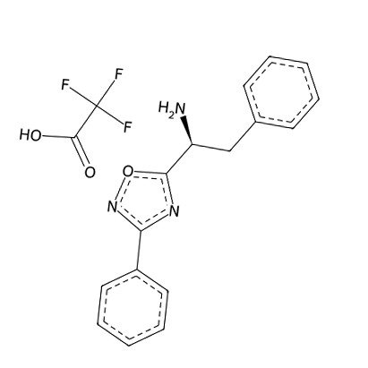 N[C@@H](Cc1ccccc1)c1nc(-c2ccccc2)no1.O=C(O)C(F)(F)F